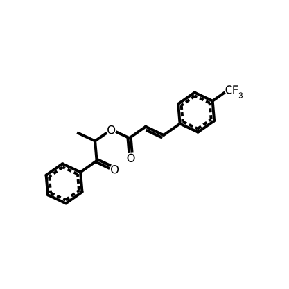 CC(OC(=O)/C=C/c1ccc(C(F)(F)F)cc1)C(=O)c1ccccc1